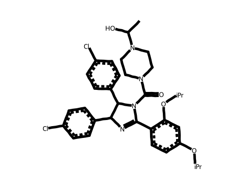 CC(C)Oc1ccc(C2=NC(c3ccc(Cl)cc3)C(c3ccc(Cl)cc3)N2C(=O)N2CCN(C(C)O)CC2)c(OC(C)C)c1